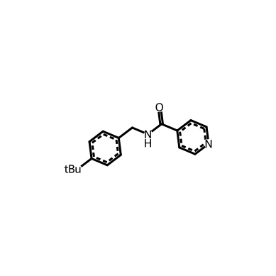 CC(C)(C)c1ccc(CNC(=O)c2ccncc2)cc1